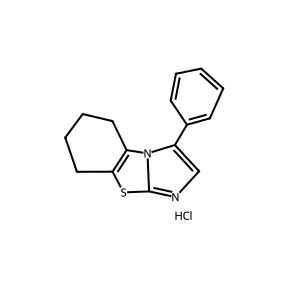 Cl.c1ccc(-c2cnc3sc4c(n23)CCCC4)cc1